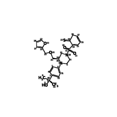 C[C@@](O)(c1ccc(N2CCN(S(=O)(=O)C3=CC=CCC3=S)C[C@@H]2COCc2ccco2)cc1)C(F)(F)F